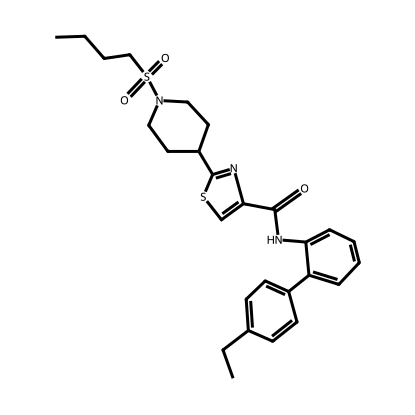 CCCCS(=O)(=O)N1CCC(c2nc(C(=O)Nc3ccccc3-c3ccc(CC)cc3)cs2)CC1